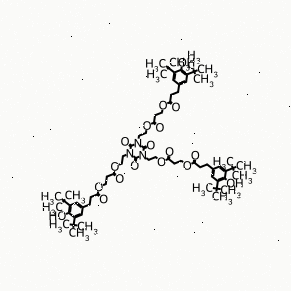 CC(C)(C)c1cc(CCC(=O)OCCC(=O)OCCn2c(=O)n(CCOC(=O)CCOC(=O)CCc3cc(C(C)(C)C)c(O)c(C(C)(C)C)c3)c(=O)n(CCOC(=O)CCOC(=O)CCc3cc(C(C)(C)C)c(O)c(C(C)(C)C)c3)c2=O)cc(C(C)(C)C)c1O